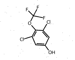 Oc1cc(Cl)c(OC(F)(F)F)c(Cl)c1